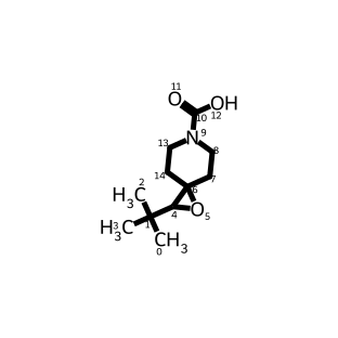 CC(C)(C)C1OC12CCN(C(=O)O)CC2